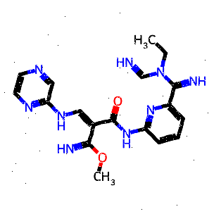 CCN(C=N)C(=N)c1cccc(NC(=O)/C(=C/Nc2cnccn2)C(=N)OC)n1